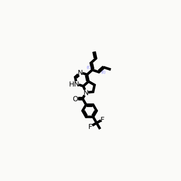 C=C/C=C(\C=C\C)C1=C2CCN(C(=O)c3ccc(C(C)(F)F)cc3)C2NC=N1